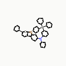 c1ccc(-c2ccc3c(c2)sc2cc(N(c4ccccc4)c4cccc([Si](c5ccccc5)(c5ccccc5)c5ccccc5)c4)ccc23)cc1